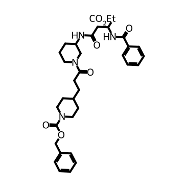 CCOC(=O)C(CC(=O)NC1CCCN(C(=O)CCC2CCN(C(=O)OCc3ccccc3)CC2)C1)NC(=O)c1ccccc1